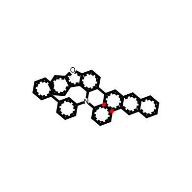 c1ccc(-c2cccc(N(c3ccccc3)c3c(-c4ccc5cc6ccccc6cc5c4)ccc4oc5ccccc5c34)c2)cc1